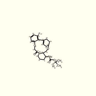 CC(C)(C)OC(=O)NC1CCCN2C(=O)COc3cccc(F)c3C3=CCC(CC3)OCC12